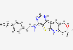 CC1(C)Cc2nc3sc4c(NCCc5ccc(C(=O)O)cc5)ncnc4c3cc2CO1